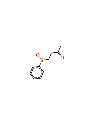 CC(=O)CC[S+]([O-])c1ccccc1